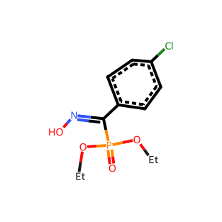 CCOP(=O)(OCC)C(=NO)c1ccc(Cl)cc1